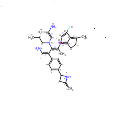 C=C1CC(c2ccc(C(=C/N)/C(=C(\C)NCC3=C(/C)CC/C=C/C=C\3F)N(/C=C(\C)N)CCC)cc2)N1